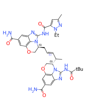 CCn1nc(C)cc1C(=O)Nc1nc2cc(C(N)=O)cc3c2n1[C@@H](C/C=C/C(C)[C@H]1COc2cc(C(N)=O)cc4nc(NC(=O)C(C)(C)C)n1c24)CO3